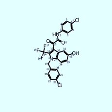 O=C(Nc1ccc(Cl)cc1)C(=O)c1c(C(F)(F)F)n(Cc2ccc(Cl)cc2)c2ccc(O)cc12